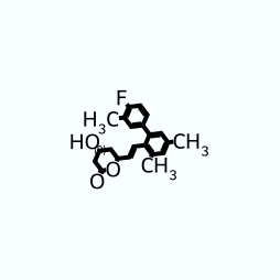 Cc1cc(C)c(C=CC2C[C@@H](O)CC(=O)O2)c(-c2ccc(F)c(C)c2)c1